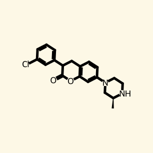 C[C@H]1CN(c2ccc3c(c2)OC(=O)C(c2cccc(Cl)c2)C3)CCN1